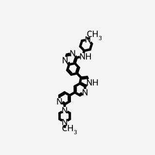 CN1CCC(Nc2ncnc3ccc(-c4c[nH]c5ncc(-c6ccnc(N7CCN(C)CC7)c6)cc45)cc23)CC1